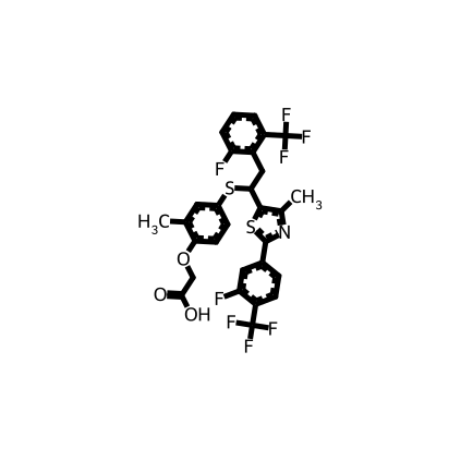 Cc1cc(SC(Cc2c(F)cccc2C(F)(F)F)c2sc(-c3ccc(C(F)(F)F)c(F)c3)nc2C)ccc1OCC(=O)O